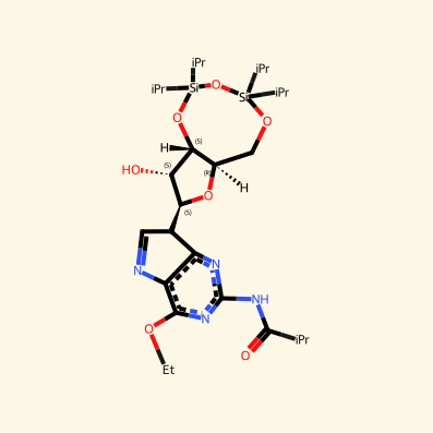 CCOc1nc(NC(=O)C(C)C)nc2c1N=CC2[C@@H]1O[C@@H]2CO[Si](C(C)C)(C(C)C)O[Si](C(C)C)(C(C)C)O[C@H]2[C@H]1O